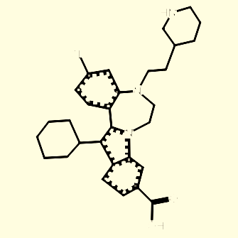 O=C(O)c1ccc2c(C3CCCCC3)c3n(c2c1)CCN(CCC1CCCNC1)c1cc(Cl)ccc1-3